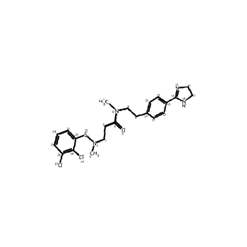 CN(CCC(=O)N(C)CCc1ccc(C2=NCCN2)cc1)Sc1cccc(Cl)c1Cl